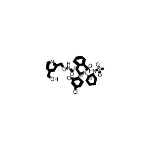 CS(=O)(=O)N[C@H]1CCCC[C@@H]1N1C(=O)c2ccccc2[C@@H](C(=O)NOCc2cc(CO)ccn2)[C@@H]1c1ccc(Cl)cc1Cl